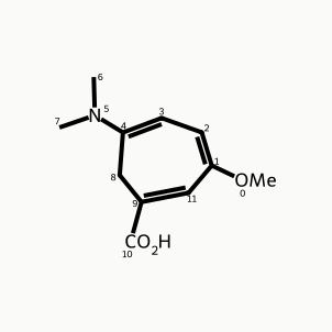 COC1=CC=C(N(C)C)CC(C(=O)O)=C1